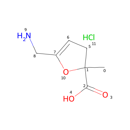 CC1(C(=O)O)CC=C(CN)O1.Cl